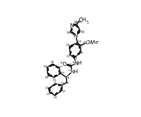 COc1cc(NC(=O)NC(Cc2ccccc2)c2ccccc2)ccc1-n1cnc(C)c1